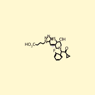 Cl.O=C(O)CCCn1nnnc1/C=C1/CN(C(C(=O)C2CC2)c2ccccc2F)CCC1S